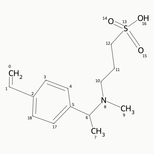 C=Cc1ccc(C(C)N(C)CCCS(=O)(=O)O)cc1